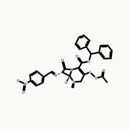 C=S1CC(SOC(C)=O)=C(C(=O)OC(c2ccccc2)c2ccccc2)N2C(=O)[C@@H](N=Cc3ccc([N+](=O)[O-])cc3)[C@H]21